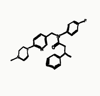 CC(CC(=O)N(Cc1ccc(N2CCN(C)CC2)nc1)c1ccc(F)cc1)c1ccccc1